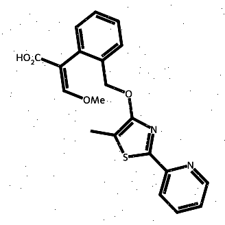 CO/C=C(/C(=O)O)c1ccccc1COc1nc(-c2ccccn2)sc1C